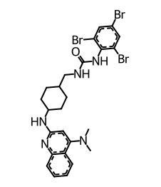 CN(C)c1cc(NC2CCC(CNC(=O)Nc3c(Br)cc(Br)cc3Br)CC2)nc2ccccc12